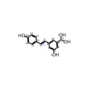 OB(O)c1cc(O)cc(/C=C/c2ccc(O)cc2)c1